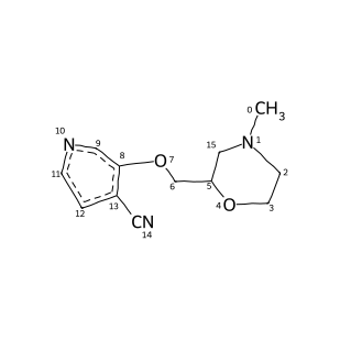 CN1CCOC(COc2cnccc2C#N)C1